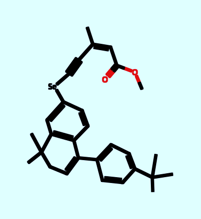 COC(=O)C=C(C)C#C[Se]c1ccc2c(c1)C(C)(C)CC=C2c1ccc(C(C)(C)C)cc1